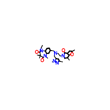 CCN1C(=O)C(C)(C)C(=O)N(C)c2cc(CN(CCn3cc(C)c4oc(C)cc4c3=O)Cc3cc(C)nn3C)ccc21